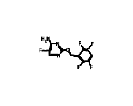 Nc1nc(OCc2c(F)c(F)cc(F)c2F)ncc1F